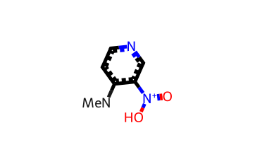 CNc1ccncc1[N+](=O)O